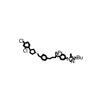 C=C1N(c2ccc(N(CCC)CCCc3ccc(CC[C@@H]4CCC(c5ccc(Cl)cc5Cl)C4)cc3)cc2)C=NN1C(C)CC